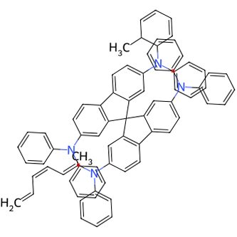 C=C/C=C\C=C(/C)N(c1ccccc1)c1ccc2c(c1)C1(c3cc(N(c4ccccc4)c4ccccc4)ccc3-2)c2cc(N(c3ccccc3)c3ccccc3)ccc2-c2ccc(N(c3ccccc3)C3C=CC=CC3C)cc21